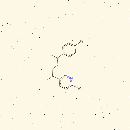 CCc1ccc(C(C)CCC(C)c2ccc(C(C)C)nc2)cc1